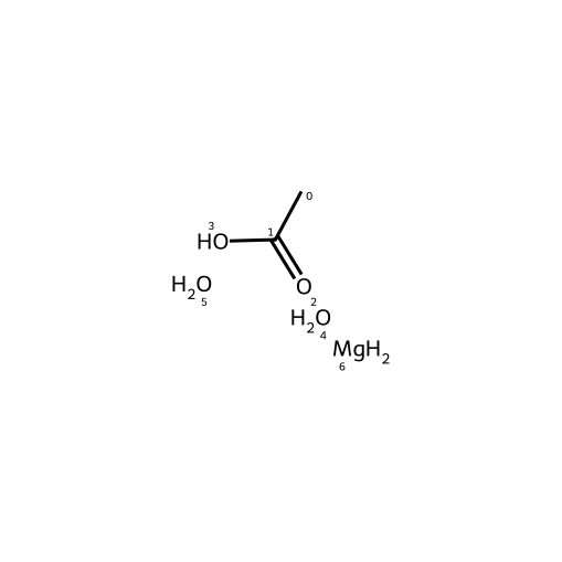 CC(=O)O.O.O.[MgH2]